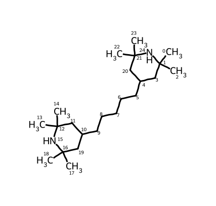 CC1(C)CC(CCCCCC2CC(C)(C)NC(C)(C)C2)CC(C)(C)N1